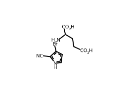 N#Cc1[nH]ccc1Br.NC(CCC(=O)O)C(=O)O